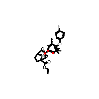 CCOC(=O)C12CCC(CN(C(=O)OC(C)(C)C)C1)N2S(=O)(=O)c1cc(F)c(Oc2ccc(F)cc2)c(F)c1